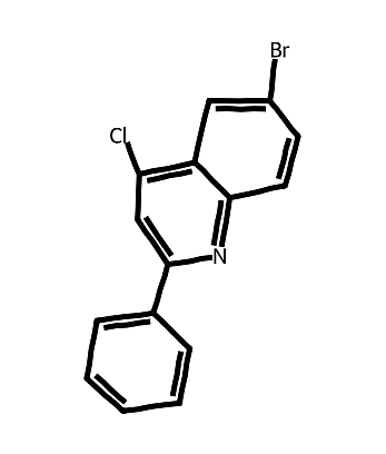 Clc1cc(-c2ccccc2)nc2ccc(Br)cc12